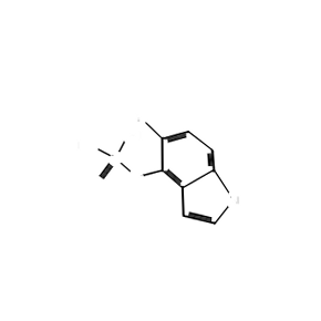 O=P(O)(O)Oc1c(Br)ccc2[nH]ccc12